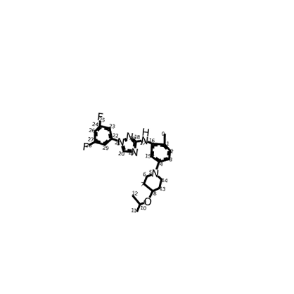 Cc1ccc(N2CCC(OC(C)C)CC2)cc1Nc1ncn(-c2cc(F)cc(F)c2)n1